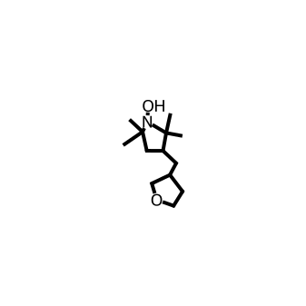 CC1(C)CC(CC2CCOC2)C(C)(C)N1O